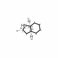 C[C@H]1C[C@@H]2CCCC[C@@H]2N1